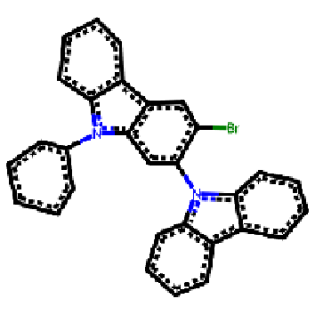 Brc1cc2c3ccccc3n(-c3ccccc3)c2cc1-n1c2ccccc2c2ccccc21